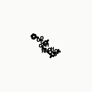 CC(C)C[C@@H](CC(=O)OCc1ccccc1)NC(=O)[C@@H](C)CNC(=O)C[C@@H](NC(=O)OC(C)(C)C)C(C)C